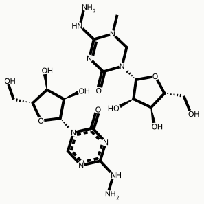 CN1CN([C@@H]2O[C@H](CO)[C@@H](O)[C@H]2O)C(=O)N=C1NN.NNc1ncn([C@@H]2O[C@H](CO)[C@@H](O)[C@H]2O)c(=O)n1